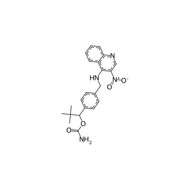 CC(C)(C)C(OC(N)=O)c1ccc(CNc2c([N+](=O)[O-])cnc3ccccc23)cc1